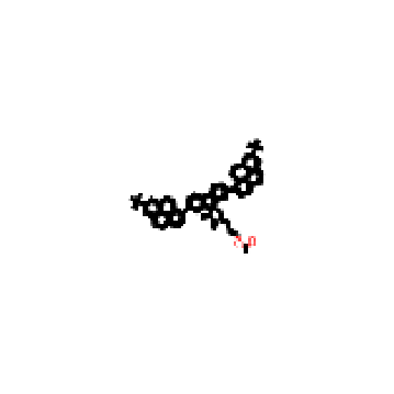 C=C(CC)C1(CCCCCOC(C)=O)c2cc(-c3ccc4ccc5cc(C(C)(C)C)cc6ccc3c4c56)ccc2-c2ccc(-c3ccc4ccc5cc(C(C)(C)C)cc6ccc3c4c56)cc21